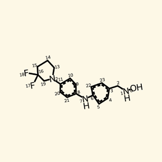 ONCc1ccc(Nc2ccc(N3CCCC(F)(F)C3)cc2)cc1